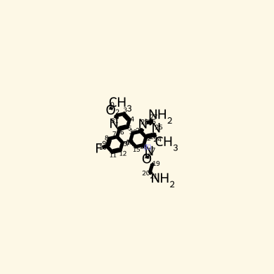 COc1cccc(C2C=C(F)C=CC2[C@H]2C/C(=N\OCCN)c3c(C)nc(N)nc3C2)n1